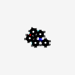 Fc1cccc(F)c1C1(c2c(F)cccc2F)c2ccccc2N(c2ccccc2)c2ccccc21